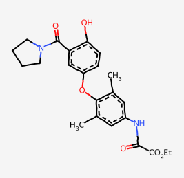 CCOC(=O)C(=O)Nc1cc(C)c(Oc2ccc(O)c(C(=O)N3CCCC3)c2)c(C)c1